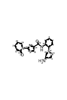 Nc1cnn(-c2ccccc2NC(=O)c2csc(-n3ccccc3=O)n2)c1